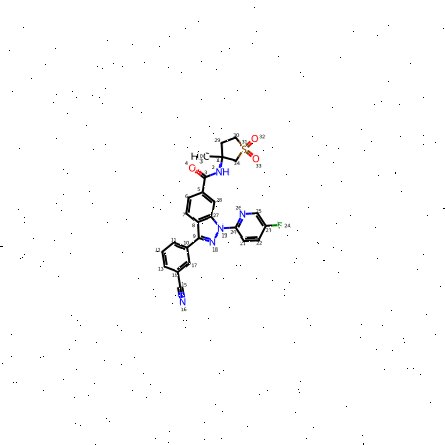 CC1(NC(=O)c2ccc3c(-c4cccc(C#N)c4)nn(-c4ccc(F)cn4)c3c2)CCS(=O)(=O)C1